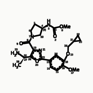 COC(=O)N[C@@H]1CCN(C(=O)c2nc(-c3ccc(OC)c(OCC4CC4)c3)oc2[C@H](C)N)C1